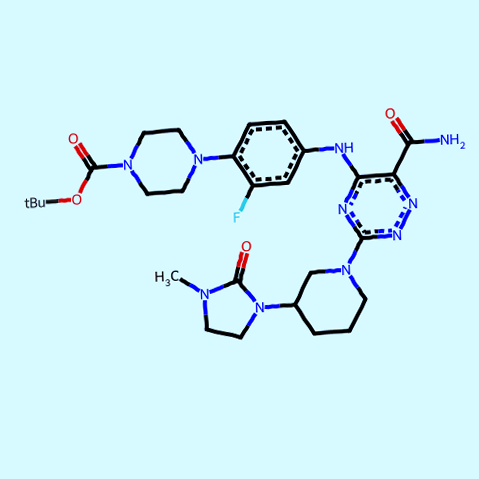 CN1CCN(C2CCCN(c3nnc(C(N)=O)c(Nc4ccc(N5CCN(C(=O)OC(C)(C)C)CC5)c(F)c4)n3)C2)C1=O